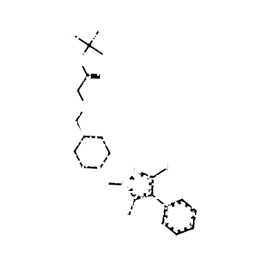 Cc1c(-c2ccccc2)c(I)nn1C[C@H]1CC[C@H](COCC(=O)OC(C)(C)C)CC1